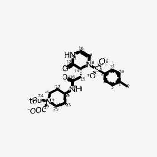 Cc1ccc(S(=O)(=O)N2C=CNC(=O)[C@H]2CC(=O)NC2CC[N+](C(=O)[O-])(C(C)(C)C)CC2)cc1